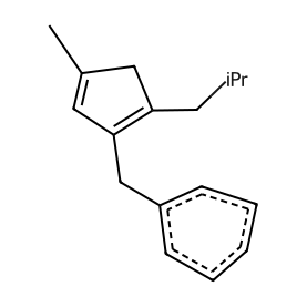 CC1=CC(Cc2ccccc2)=C(CC(C)C)C1